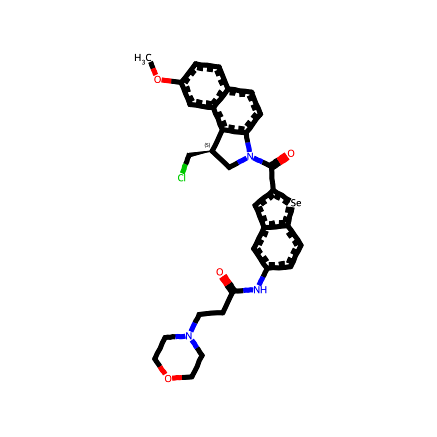 COc1ccc2[c]cc3c(c2c1)[C@H](CCl)CN3C(=O)c1cc2cc(NC(=O)CCN3CCOCC3)ccc2[se]1